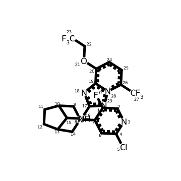 Fc1cnc(Cl)cc1N1CC2CCC(C1)C2Nc1nc2c(OCC(F)(F)F)ccc(C(F)(F)F)n2n1